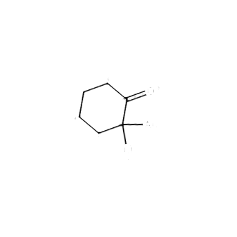 CC(=O)C1(Cl)CCCCC1=O